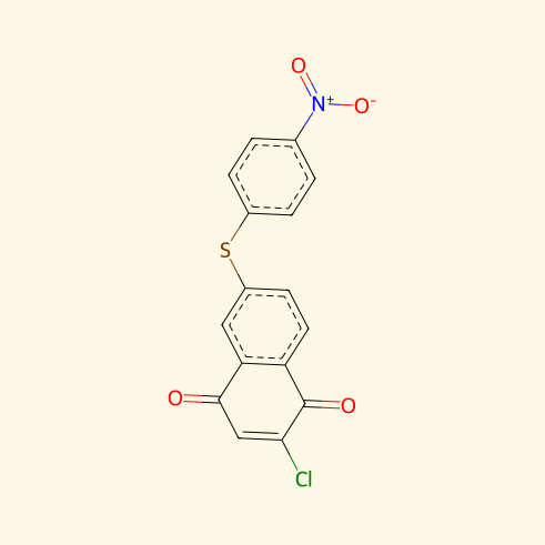 O=C1C=C(Cl)C(=O)c2ccc(Sc3ccc([N+](=O)[O-])cc3)cc21